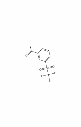 CC(=O)c1cccc(S(=O)(=O)C(F)(F)F)c1